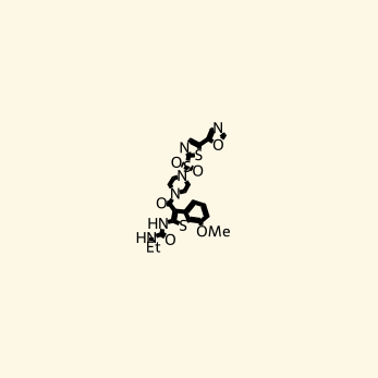 CCNC(=O)Nc1sc2c(OC)cccc2c1C(=O)N1CCN(S(=O)(=O)c2ncc(-c3cnco3)s2)CC1